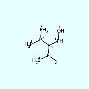 BP(C)P(PO)P(P)P